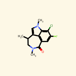 CC1CN(C)C(=O)c2cc(F)c(Cl)c3c2c1cn3C